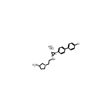 Cl.Cl.N[C@@H]1CCN(CCN[C@@H]2C[C@H]2c2ccc(-c3ccc(Cl)cc3)cc2)C1